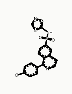 O=S(=O)(Nc1ncns1)c1ccc2c(-c3ccc(Cl)cc3)nccc2c1